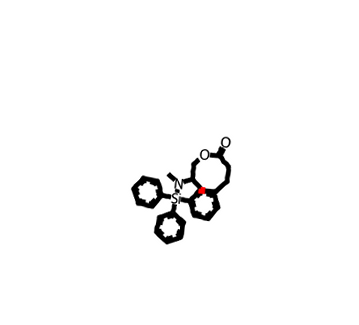 CN(C1CCCCC(=O)OC1)[Si](c1ccccc1)(c1ccccc1)c1ccccc1